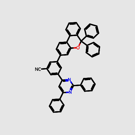 N#Cc1cc(-c2ccc3c(c2)OC(c2ccccc2)(c2ccccc2)c2ccccc2-3)cc(-c2cc(-c3ccccc3)nc(-c3ccccc3)n2)c1